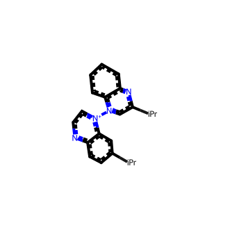 CC(C)c1ccc2ncc[n+](-[n+]3cc(C(C)C)nc4ccccc43)c2c1